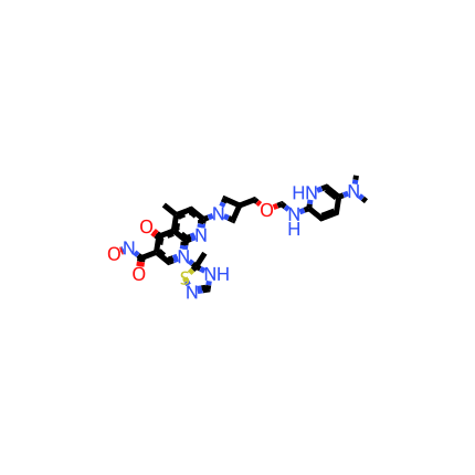 Cc1cc(N2CC(COCNC3C=CC(N(C)C)=CN3)C2)nc2c1c(=O)c(C(=O)N=O)cn2C1(C)NC=NS1